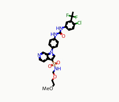 COCCOCNS(=O)(=O)c1cn(-c2ccc(NC(=O)Nc3ccc(Cl)c(C(C)(F)F)c3)cc2)c2cnccc12